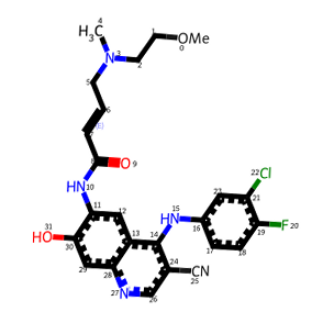 COCCN(C)C/C=C/C(=O)Nc1cc2c(Nc3ccc(F)c(Cl)c3)c(C#N)cnc2cc1O